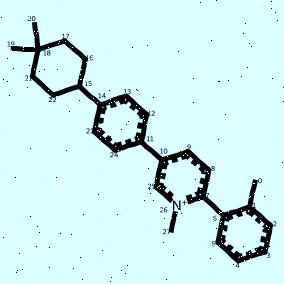 Cc1ccccc1-c1ccc(-c2ccc(C3CCC(C)(C)CC3)cc2)c[n+]1C